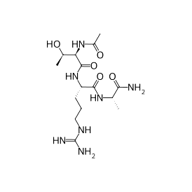 CC(=O)N[C@@H](C(=O)N[C@@H](CCCNC(=N)N)C(=O)N[C@@H](C)C(N)=O)[C@@H](C)O